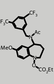 CCOC(=O)ON1CCCC(N(Cc2cc(C(F)(F)F)cc(C(F)(F)F)c2)C(C)=O)c2cc(OC)ccc21